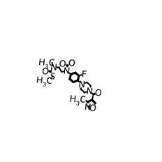 CSC(=O)N(C)C1CN(c2ccc(N3CCN(C(=O)c4conc4C)CC3)c(F)c2)C(=O)O1